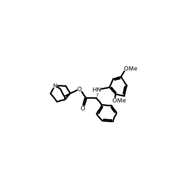 COc1ccc(OC)c(N[C@@H](C(=O)OC2CN3CCC2CC3)c2ccccc2)c1